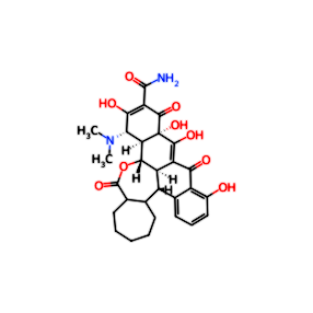 CN(C)[C@@H]1C(O)=C(C(N)=O)C(=O)[C@@]2(O)C(O)=C3C(=O)c4c(O)cccc4[C@@H]4C5CCCCCC5C(=O)O[C@@H]([C@@H]34)[C@@H]12